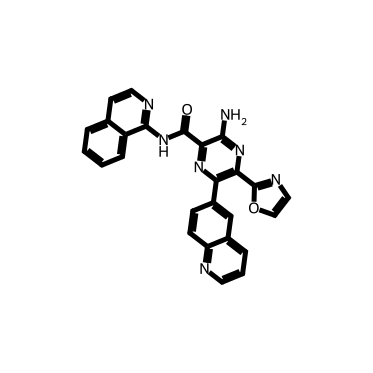 Nc1nc(-c2ncco2)c(-c2ccc3ncccc3c2)nc1C(=O)Nc1nccc2ccccc12